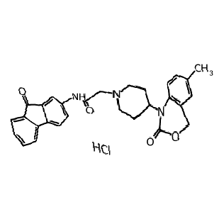 Cc1ccc2c(c1)COC(=O)N2C1CCN(CC(=O)Nc2ccc3c(c2)C(=O)c2ccccc2-3)CC1.Cl